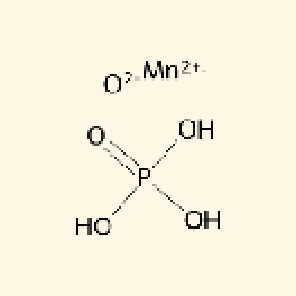 O=P(O)(O)O.[Mn+2].[O-2]